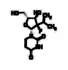 C=C(C)[C@@]1(F)[C@H](O)[C@@H](CO)O[C@H]1n1ccc(=O)[nH]c1=O